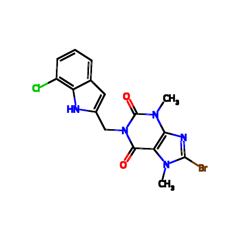 Cn1c(Br)nc2c1c(=O)n(Cc1cc3cccc(Cl)c3[nH]1)c(=O)n2C